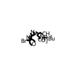 CC1CC(Cn2cc(-n3nc(Br)c4c3CCOCC4)cn2)CC(C)N1C(=O)OC(C)(C)C